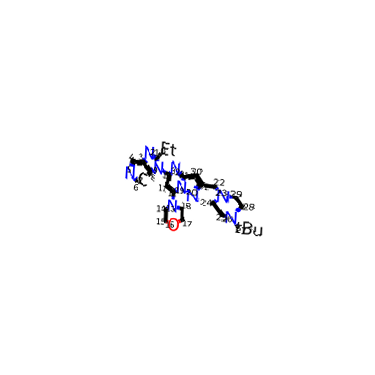 CCc1nc2cnccc2n1-c1cc(N2CCOCC2)n2nc(CN3CCN(C(C)(C)C)CC3)cc2n1